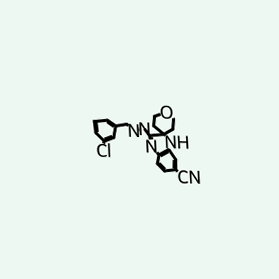 N#Cc1ccc2c(c1)NC1(CCOCC1)C(N=NCc1cccc(Cl)c1)=N2